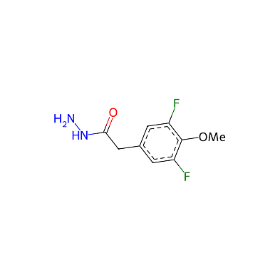 COc1c(F)cc(CC(=O)NN)cc1F